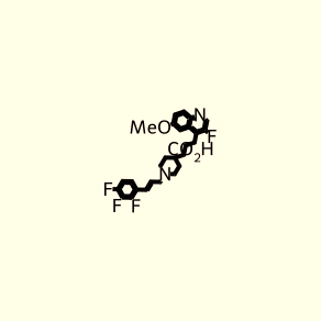 COc1ccc2ncc(F)c(CCCC3(C(=O)O)CCN(CC=Cc4ccc(F)c(F)c4F)CC3)c2c1